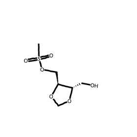 CS(=O)(=O)OC[C@@H]1OCO[C@H]1CO